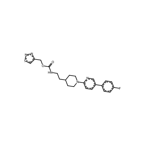 O=C(NCCC1CCN(c2ccc(-c3ccc(F)cc3)cn2)CC1)OCc1csnn1